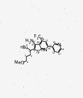 CCCCC(CCCOC)c1sc2nc(-c3cccnc3)cc(C(F)(F)F)c2c1N